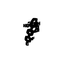 CCc1cc(-c2ccc(Cl)cc2F)ccc1C1=C(O)[C@@]2(C)CC[C@H](O2)C1=O